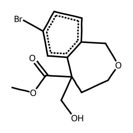 COC(=O)C1(CO)CCOCc2ccc(Br)cc21